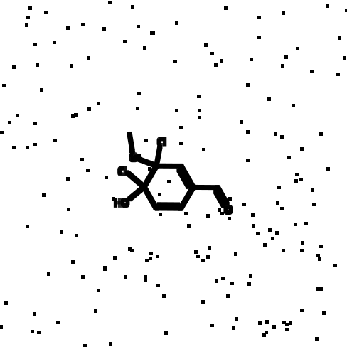 COC1(Cl)C=C(C=O)C=CC1(O)Cl